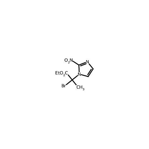 CCOC(=O)C(C)(Br)n1ccnc1[N+](=O)[O-]